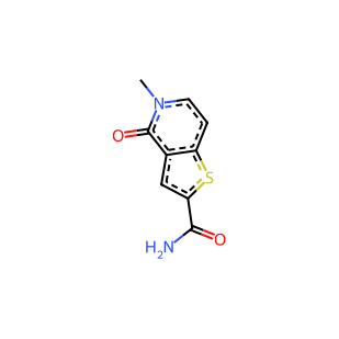 Cn1ccc2sc(C(N)=O)cc2c1=O